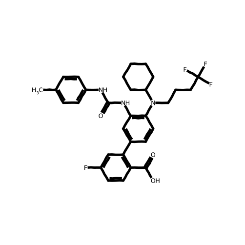 Cc1ccc(NC(=O)Nc2cc(-c3cc(F)ccc3C(=O)O)ccc2N(CCCC(F)(F)F)C2CCCCC2)cc1